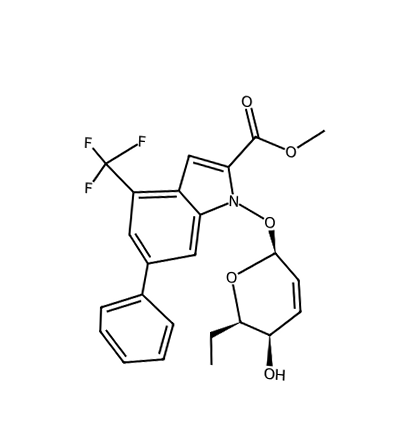 CC[C@H]1O[C@@H](On2c(C(=O)OC)cc3c(C(F)(F)F)cc(-c4ccccc4)cc32)C=C[C@H]1O